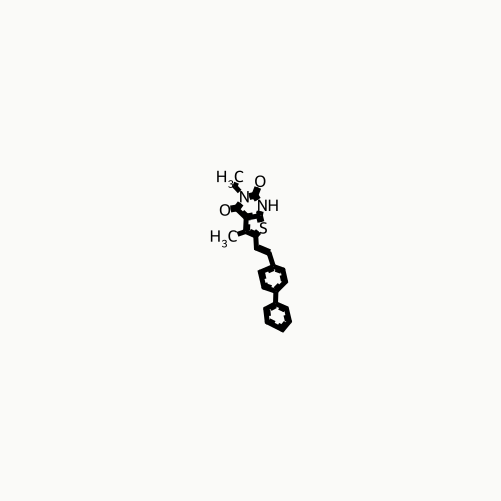 CCn1c(=O)[nH]c2sc(/C=C/c3ccc(-c4ccccc4)cc3)c(C)c2c1=O